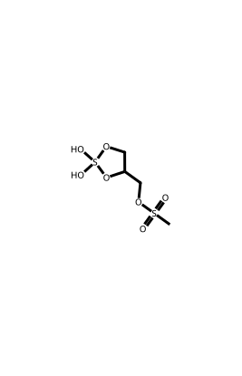 CS(=O)(=O)OCC1COS(O)(O)O1